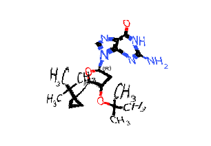 CC(C)(C)OC1C[C@H](n2cnc3c(=O)[nH]c(N)nc32)O[C@@H]1C1(C(C)(C)C)CC1